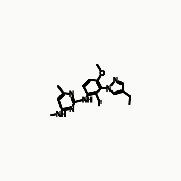 CCc1cnn(-c2c(OC)ccc(Nc3nc(C)cc(NC)n3)c2F)c1